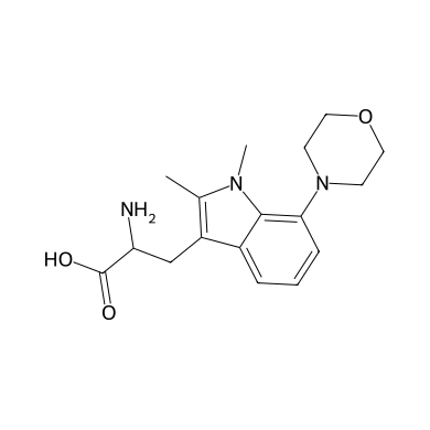 Cc1c(CC(N)C(=O)O)c2cccc(N3CCOCC3)c2n1C